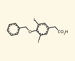 O=C(O)Cc1cc(I)c(OCc2ccccc2)c(I)c1